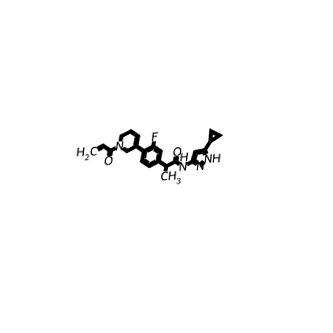 C=CC(=O)N1CCC=C(c2ccc(C(C)C(=O)Nc3cc(C4CC4)[nH]n3)cc2F)C1